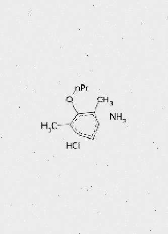 CCCOc1c(C)cccc1C.Cl.N